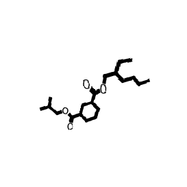 CCCCC(CC)COC(=O)C1CCCC(C(=O)OCC(C)C)C1